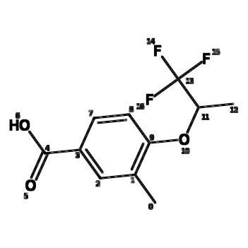 Cc1cc(C(=O)O)ccc1OC(C)C(F)(F)F